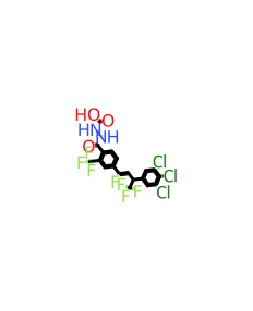 O=C(O)NNC(=O)c1ccc(/C(F)=C/C(c2cc(Cl)c(Cl)c(Cl)c2)C(F)(F)F)cc1C(F)(F)F